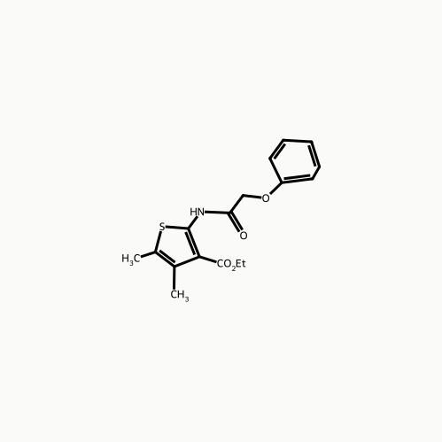 CCOC(=O)c1c(NC(=O)COc2ccccc2)sc(C)c1C